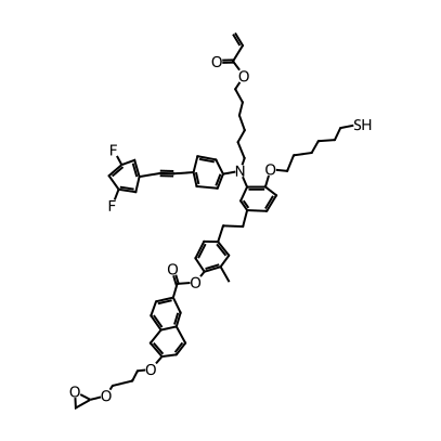 C=CC(=O)OCCCCCCN(c1ccc(C#Cc2cc(F)cc(F)c2)cc1)c1cc(CCc2ccc(OC(=O)c3ccc4cc(OCCCOC5CO5)ccc4c3)c(C)c2)ccc1OCCCCCCS